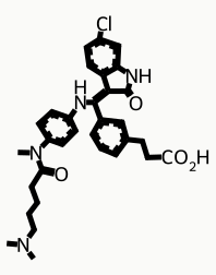 CN(C)CCCCC(=O)N(C)c1ccc(NC(=C2C(=O)Nc3cc(Cl)ccc32)c2cccc(CCC(=O)O)c2)cc1